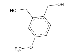 OCc1ccc(OC(F)(F)F)cc1CO